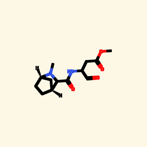 COC(=O)CC(C=O)NC(=O)C1[C@H]2CC[C@H](C2)N1C